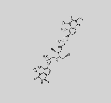 Cc1c(N2CC(C)(CNC(CC#N)C(C#N)CNCC3(C)CN(c4ccc5c(=O)n(N)c(=O)n(C6CC6)c5c4C)C3)C2)ccc2c(=O)[nH]c(=O)n(C3CC3)c12